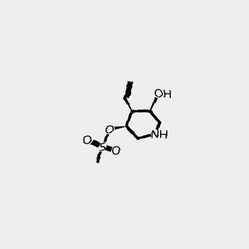 C=C[C@H]1[C@@H](O)CNC[C@H]1OS(C)(=O)=O